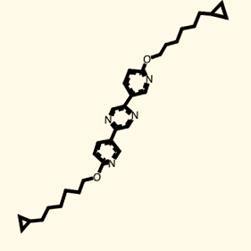 c1cc(OCCCCCCC2CC2)ncc1-c1cnc(-c2ccc(OCCCCCCC3CC3)nc2)cn1